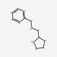 c1ccc(COCC2CCCO2)cc1